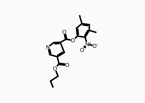 CCCOC(=O)c1cncc(C(=O)Oc2cc(C)cc(C)c2[N+](=O)[O-])c1